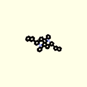 c1ccc2cc(-c3ccc(-n4c5ccccc5c5c6ccccc6c6c(c7ccccc7c7c8ccccc8n(-c8ccc(-c9ccc%10ccccc%10c9)cc8)c76)c54)cc3)ccc2c1